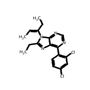 C/C=C(/CC)n1c(CC)nc2c(-c3ccc(Cl)cc3Cl)ncnc21